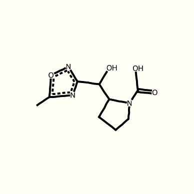 Cc1nc(C(O)C2CCCN2C(=O)O)no1